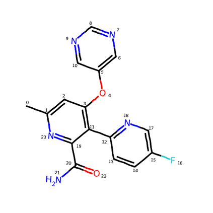 Cc1cc(Oc2cncnc2)c(-c2ccc(F)cn2)c(C(N)=O)n1